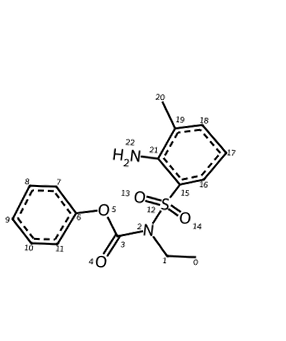 CCN(C(=O)Oc1ccccc1)S(=O)(=O)c1cccc(C)c1N